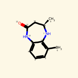 Bc1cccc2c1N[C@H](C)CC(=O)N2